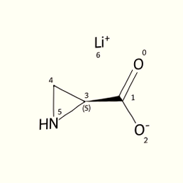 O=C([O-])[C@@H]1CN1.[Li+]